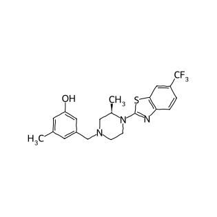 Cc1cc(O)cc(CN2CCN(c3nc4ccc(C(F)(F)F)cc4s3)[C@H](C)C2)c1